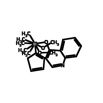 C[O][Ti]([CH3])([CH3])([CH3])([CH3])([CH3])([O]C)([O]c1ccnc2ccccc12)[C]1=CC=CC1